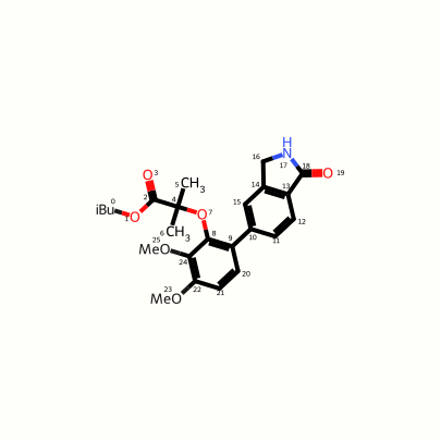 CCC(C)OC(=O)C(C)(C)Oc1c(-c2ccc3c(c2)CNC3=O)ccc(OC)c1OC